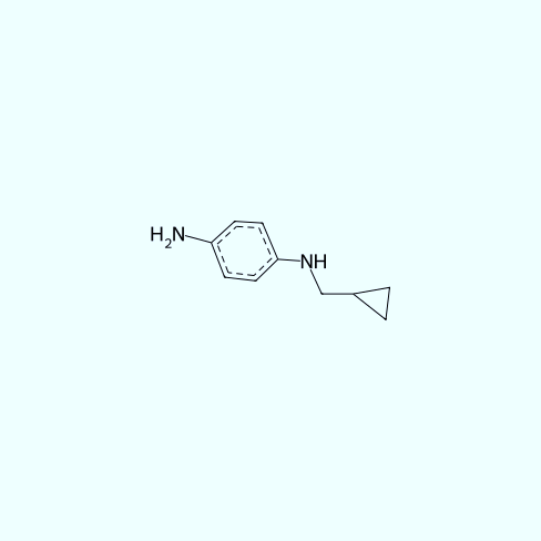 Nc1ccc(NCC2CC2)cc1